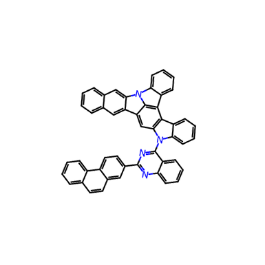 c1ccc2cc3c(cc2c1)c1cc2c(c4ccccc4n2-c2nc(-c4ccc5c(ccc6ccccc65)c4)nc4ccccc24)c2c4ccccc4n3c12